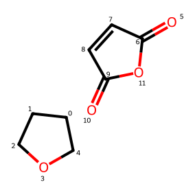 C1CCOC1.O=C1C=CC(=O)O1